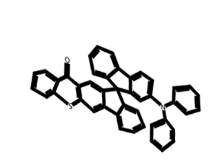 O=c1c2ccccc2sc2cc3c(cc12)C1(c2ccccc2-c2ccc(N(c4ccccc4)c4ccccc4)cc21)c1ccccc1-3